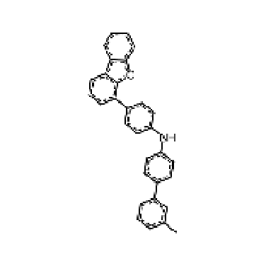 Cc1cccc(-c2ccc(Nc3ccc(-c4cccc5c4oc4ccccc45)cc3)cc2)c1